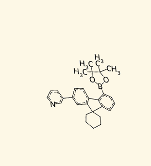 CC1(C)OB(c2cccc3c2-c2ccc(-c4cccnc4)cc2C32CCCCC2)OC1(C)C